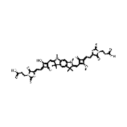 COC1=C(C=C2N(C)c3cc4c(cc3C2(C)C)C(C)(C)/C(=C\C2=C(O)C(=C\C=C3SC(=S)N(CCC(=O)O)C3=O)/C2=O)N4C)C(=O)C1=C/C=C1\SC(=S)N(CCC(=O)O)C1=O